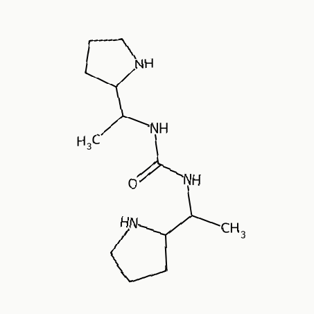 CC(NC(=O)NC(C)C1CCCN1)C1CCCN1